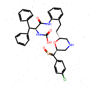 O=S=C(c1ccc(Cl)cc1)[C@@H]1CNC[C@@H](CCc2ccccc2NC(=O)[C@@H](NC(=O)O)C(c2ccccc2)c2ccccc2)O1